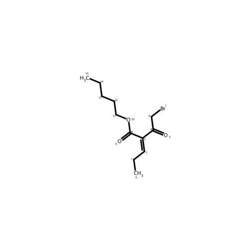 CCC=C(C(=O)CBr)C(=O)OCCCCC